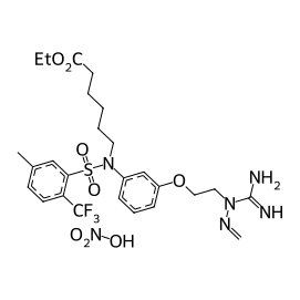 C=NN(CCOc1cccc(N(CCCCCC(=O)OCC)S(=O)(=O)c2cc(C)ccc2C(F)(F)F)c1)C(=N)N.O=[N+]([O-])O